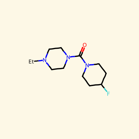 CCN1CCN(C(=O)N2CCC(F)CC2)CC1